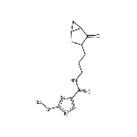 CCSc1ncc(C(=O)NCCCC2CC3CC3C2=O)s1